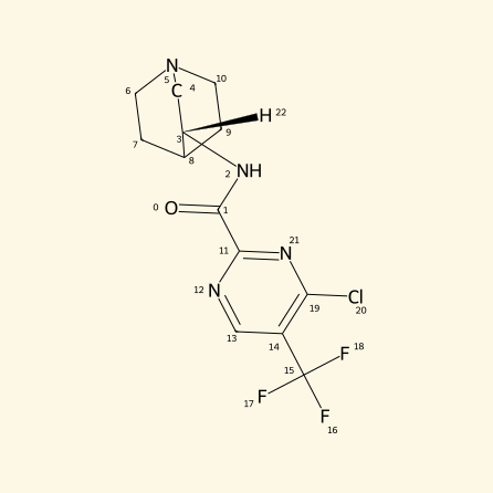 O=C(N[C@H]1CN2CCC1CC2)c1ncc(C(F)(F)F)c(Cl)n1